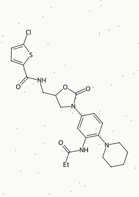 CCC(=O)Nc1cc(N2CC(CNC(=O)c3ccc(Cl)s3)OC2=O)ccc1N1CCCCC1